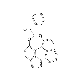 O=C(c1ccccc1)C1Oc2ccc3ccccc3c2-c2c(ccc3ccccc23)O1